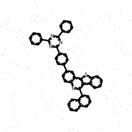 c1ccc(-c2nc(-c3ccccc3)nc(-c3ccc(-c4ccc5nc(-c6cccc7ccccc67)c6c7ccccc7sc6c5c4)cc3)n2)cc1